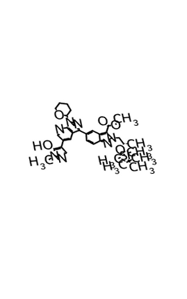 COC(=O)c1c2cc(-c3nn(C4CCCCO4)c4ncc(-c5cnn(C)c5O)cc34)ccc2nn1C[C@H](C)O[Si](C)(C)C(C)(C)C